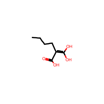 CCCCC(C(=O)O)=C(O)O